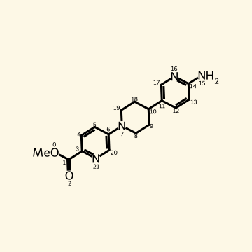 COC(=O)c1ccc(N2CCC(c3ccc(N)nc3)CC2)cn1